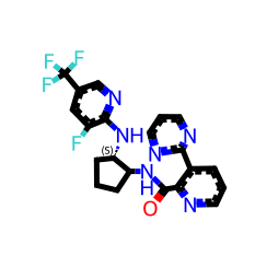 O=C(NC1CCC[C@@H]1Nc1ncc(C(F)(F)F)cc1F)c1ncccc1-c1ncccn1